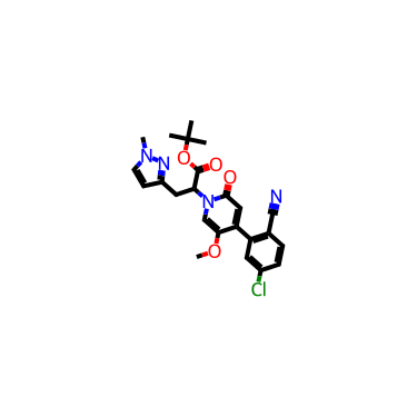 COc1cn(C(Cc2ccn(C)n2)C(=O)OC(C)(C)C)c(=O)cc1-c1cc(Cl)ccc1C#N